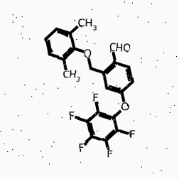 Cc1cccc(C)c1OCc1cc(Oc2c(F)c(F)c(F)c(F)c2F)ccc1C=O